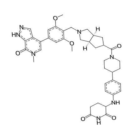 COc1cc(-c2cn(C)c(=O)c3[nH]ncc23)cc(OC)c1CN1C[C@H]2CC(C(=O)N3CCC(c4ccc(NC5CCC(=O)NC5=O)cc4)CC3)C[C@H]2C1